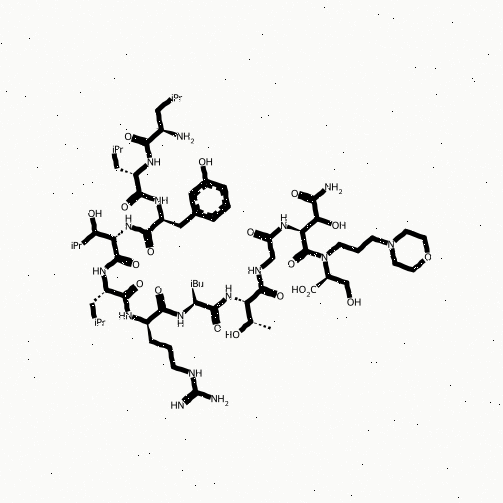 CC[C@H](C)[C@H](NC(=O)[C@@H](CCCNC(=N)N)NC(=O)[C@H](CC(C)C)NC(=O)[C@@H](NC(=O)[C@H](Cc1cccc(O)c1)NC(=O)[C@H](CC(C)C)NC(=O)[C@H](N)CC(C)C)C(O)C(C)C)C(=O)N[C@H](C(=O)NCC(=O)N[C@H](C(=O)N(CCCN1CCOCC1)[C@@H](CO)C(=O)O)C(O)C(N)=O)[C@H](C)O